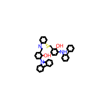 Oc1c(CSc2ccccc2/N=C/c2cccc(-n3c4ccccc4c4ccccc43)c2O)cccc1Nc1ccccc1-c1ccccc1